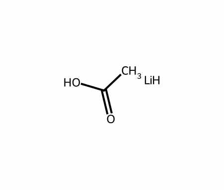 CC(=O)O.[LiH]